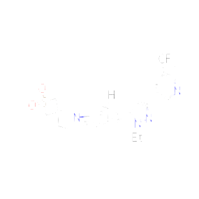 CCn1nc(-c2cncc(C(F)(F)F)c2)cc1[C@@H]1C2=C[C@@H](N3CCC4(C3)CS(=O)(=O)C4)C[C@H]21